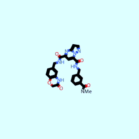 CNC(=O)c1cccc(CNC(=O)c2cc(C(=O)NCc3ccc4c(c3)NC(=O)CO4)nc3ccnn23)c1